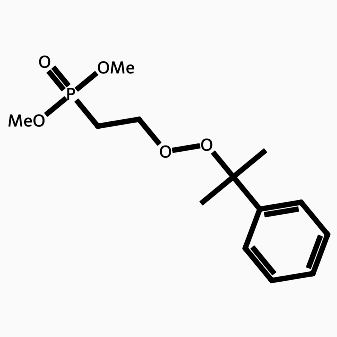 COP(=O)(CCOOC(C)(C)c1ccccc1)OC